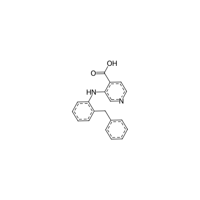 O=C(O)c1ccncc1Nc1ccccc1Cc1ccccc1